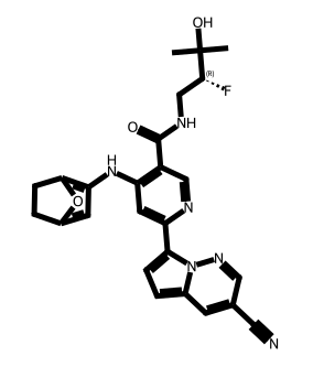 CC(C)(O)[C@H](F)CNC(=O)c1cnc(-c2ccc3cc(C#N)cnn23)cc1Nc1cc2oc1CC2